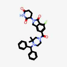 CC1(C)CN(C(=O)c2cc(F)c3c(c2)CN(C2CCC(=O)NC2=O)C3=O)CCN1C(c1ccccc1)c1ccccc1